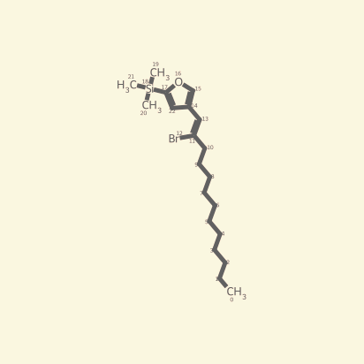 CCCCCCCCCCCC(Br)=Cc1coc([Si](C)(C)C)c1